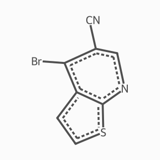 N#Cc1cnc2sccc2c1Br